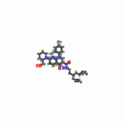 C=CCC(CC)CCNC(=O)c1cn(-c2ccc(F)cc2F)c2nc(N3CCCCC3CO)ccc2c1=O